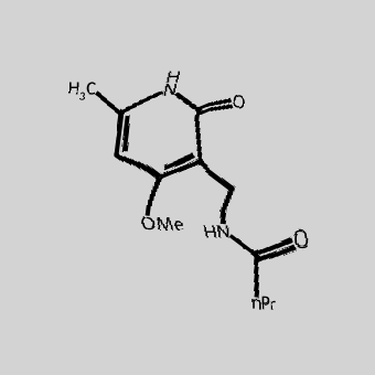 CCCC(=O)NCc1c(OC)cc(C)[nH]c1=O